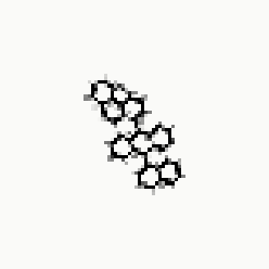 c1ccc2c(-c3c4ccccc4c(-c4ccc5oc6cccc7ccc4c5c76)c4ccccc34)cccc2c1